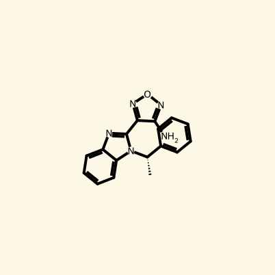 C[C@@H](c1ccccc1)n1c(-c2nonc2N)nc2ccccc21